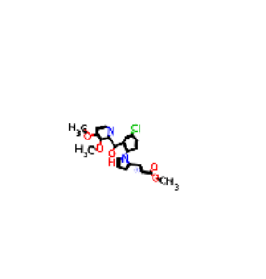 COC(=O)/C=C/c1cccn1-c1ccc(Cl)cc1C(O)c1nccc(OC)c1OC